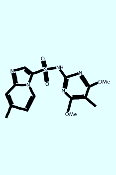 COc1nc(NS(=O)(=O)c2cnc3cc(C)ccn23)nc(OC)c1C